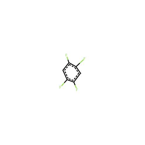 Fc1[c]c(F)c(F)cc1F